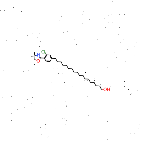 CC1(C)COC(c2ccc(CCCCCCCCCCCCCCCCCCO)cc2Cl)=N1